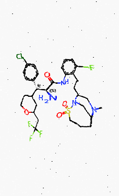 CN1CC(CCc2c(F)cccc2NC(=O)[C@@H](N)[C@@H](c2ccc(Cl)cc2)C2CCOC(CC(F)(F)F)C2)N2CC1CCCS2(=O)=O